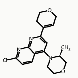 C[C@H]1COCCN1c1cc(C2=CCOCC2)nc2nc(Cl)ccc12